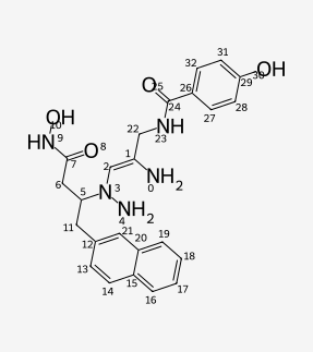 N/C(=C\N(N)C(CC(=O)NO)Cc1ccc2ccccc2c1)CNC(=O)c1ccc(O)cc1